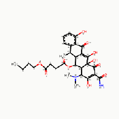 CCCCOC(=O)CCC(=O)OC1C2C(=C(O)C3(O)C(=O)C(C(N)=O)=C(O)C(N(C)C)C13)C(=O)c1c(O)cccc1C2C